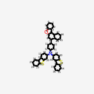 c1ccc2c(c1)oc1cc(-c3ccc(N(c4ccc5c(c4)sc4ccccc45)c4ccc5sc6ccccc6c5c4)cc3)c3ccccc3c12